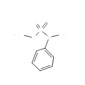 O=S(=O)(O)OS(=O)(=O)N(O)c1ccccc1